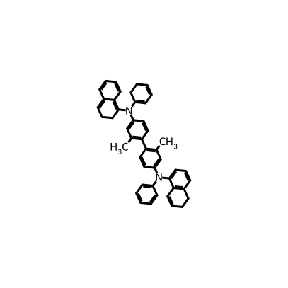 Cc1cc(N(C2=CC=CCC2)C2=c3ccccc3=CCC2)ccc1-c1ccc(N(c2ccccc2)c2cccc3c2C=CCC3)cc1C